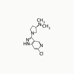 CN(C)[C@@H]1CCN(c2n[nH]c3cc(Cl)ncc23)C1